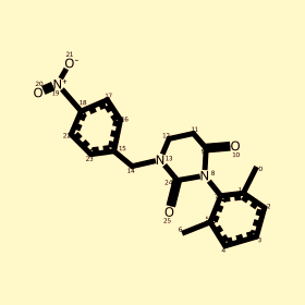 Cc1cccc(C)c1N1C(=O)CCN(Cc2ccc([N+](=O)[O-])cc2)C1=O